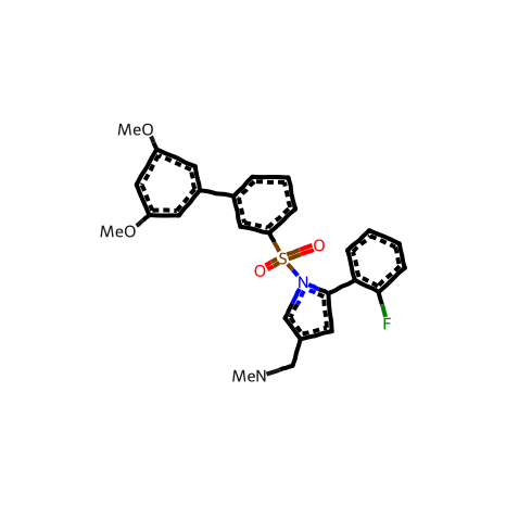 CNCc1cc(-c2ccccc2F)n(S(=O)(=O)c2cccc(-c3cc(OC)cc(OC)c3)c2)c1